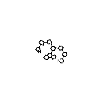 c1cncc(-c2cccc(-c3cccc(-c4cc(-c5cccc(-c6cccc(-c7cccnc7)c6)c5)cc(-c5cc6ccccc6c6ccccc56)c4)c3)c2)c1